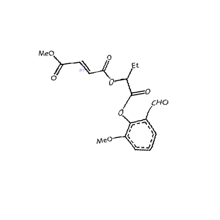 CCC(OC(=O)/C=C/C(=O)OC)C(=O)Oc1c(C=O)cccc1OC